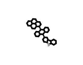 c1cc2ccc3ccc(-c4c5ccccc5c(-c5ccc6sc7ccccc7c6c5)c5ccccc45)c4ccc(c1)c2c34